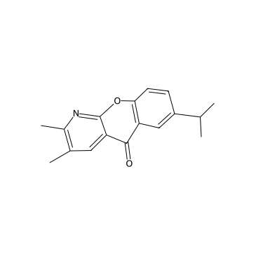 Cc1cc2c(=O)c3cc(C(C)C)ccc3oc2nc1C